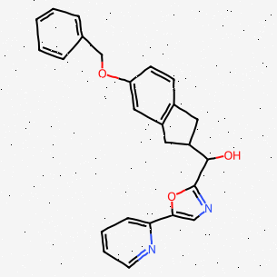 OC(c1ncc(-c2ccccn2)o1)C1Cc2ccc(OCc3ccccc3)cc2C1